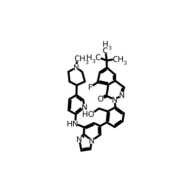 CN1CCC(c2ccc(Nc3cc(-c4cccc(-n5ncc6cc(C(C)(C)C)cc(F)c6c5=O)c4CO)cn4ccnc34)nc2)CC1